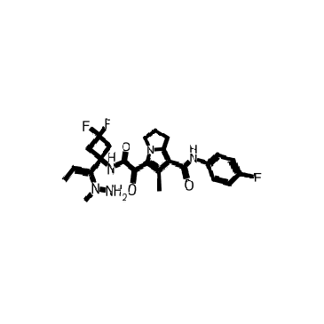 C/C=C(\N(C)N)C1(NC(=O)C(=O)c2c(C)c(C(=O)Nc3ccc(F)cc3)c3n2CCC3)CC(F)(F)C1